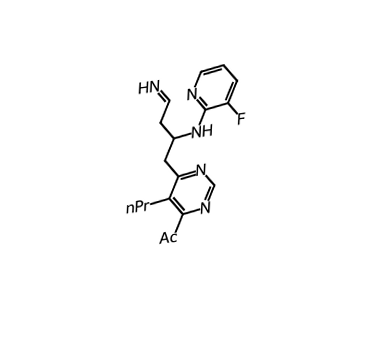 CCCc1c(CC(CC=N)Nc2ncccc2F)ncnc1C(C)=O